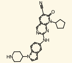 N#Cc1cc2cnc(Nc3ccc4c(ccn4C4CCNCC4)c3)nc2n(C2CCCC2)c1=O